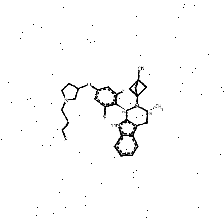 C[C@@H]1Cc2c([nH]c3ccccc23)[C@@H](c2c(F)cc(OC3CCN(CCCF)C3)cc2F)N1C12CC(C#N)(C1)C2